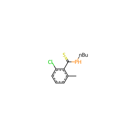 CCCCPC(=S)c1c(C)cccc1Cl